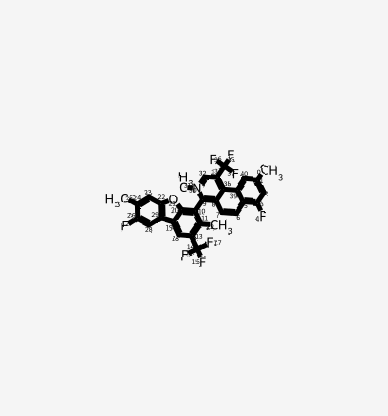 Cc1cc(F)c2ccc3c(-c4c(C)c(C(F)(F)F)cc5c4oc4cc(C)c(F)cc45)[n+](C)cc(C(F)(F)F)c3c2c1